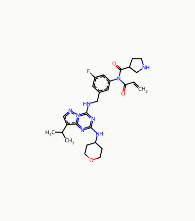 C=CC(=O)N(C(=O)C1CCNC1)c1cc(F)cc(CNc2nc(NC3CCOCC3)nc3c(C(C)C)cnn23)c1